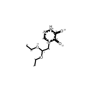 CCOC(Cn1[c]n[nH]c(=O)c1=O)OCC